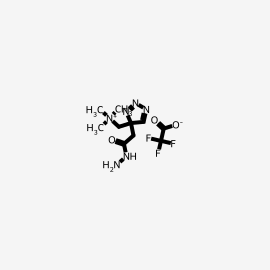 C[N+](C)(C)CC1(CC(=O)NN)C=NN=N1.O=C([O-])C(F)(F)F